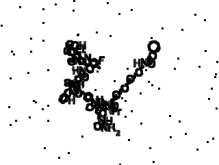 CC[C@@]1(O)C(=O)OCc2c1cc1n(c2=O)Cc2c-1nc1cc(F)c(C)c3c1c2[C@@H](NC(=O)COCNC(=O)[C@H](Cc1ccccc1)NC(=O)OCc1ccc(NC(=O)[C@H](CCCNC(N)=O)NC(=O)[C@@H](NC(=O)CCOCCOCCOCCOCCNC(=O)COC2C#CCCCCC2)C(C)C)cc1)CC3